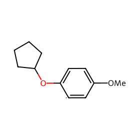 COc1c[c]c(OC2CCCC2)cc1